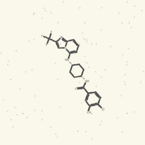 Cc1cc(C(=O)N[C@H]2CC[C@@H](Nc3cccc4nc(C(F)(F)F)cn34)CC2)ccc1Cl